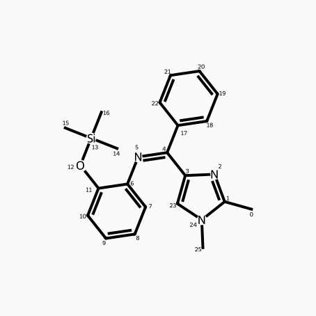 Cc1nc(C(=Nc2ccccc2O[Si](C)(C)C)c2ccccc2)cn1C